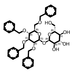 OC[C@H]1O[C@H](O[C@@H]2O[C@H](COCc3ccccc3)[C@@H](OCc3ccccc3)[C@H](OCc3ccccc3)[C@H]2OCc2ccccc2)[C@H](O)[C@@H](O)[C@@H]1O